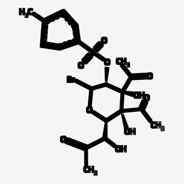 CC(=O)C(O)[C@H]1OC(Br)[C@H](OS(=O)(=O)c2ccc(C)cc2)[C@](O)(C(C)=O)[C@@]1(O)C(C)=O